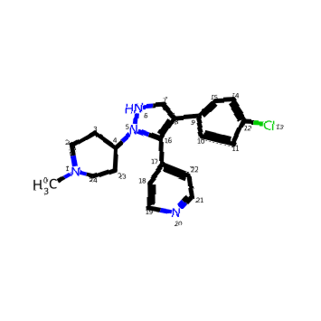 CN1CCC(N2NCC(c3ccc(Cl)cc3)=C2c2ccncc2)CC1